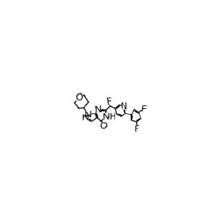 O=c1[nH]c(C(F)c2ccc(-c3cc(F)cc(F)c3)nc2)nc2c1cnn2C1CCOCC1